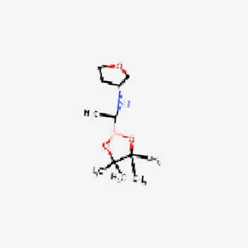 CC(N[C@H]1CCOC1)B1OC(C)(C)C(C)(C)O1